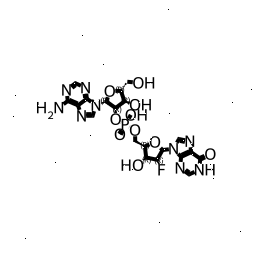 Nc1ncnc2c1ncn2[C@@H]1O[C@H](CO)[C@@H](O)[C@H]1OP(=O)(O)OC[C@H]1OC(n2cnc3c(=O)[nH]cnc32)[C@H](F)[C@@H]1O